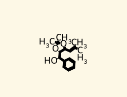 CC(C)=CC1OC(C)(C)O[C@@H]1[C@@H](O)c1ccccc1